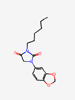 CCCCCCN1C(=O)CN(c2ccc3c(c2)OCO3)C1=O